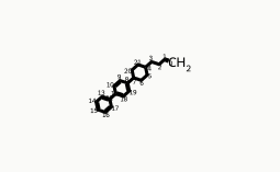 C=CCCC1CCC(c2ccc(-c3ccccc3)cc2)CC1